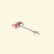 CCCCCCCCCCCCCCCCc1ccc(C(=O)O)c(C(=O)O)c1CC